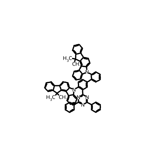 CC1(C)c2ccccc2-c2ccc3c(c21)c1ccccc1n3-c1ccccc1-c1ccc(-n2c3ccccc3c3c4c(ccc32)-c2ccccc2C4(C)C)c(-c2nc(-c3ccccc3)nc(-c3ccccc3)n2)c1